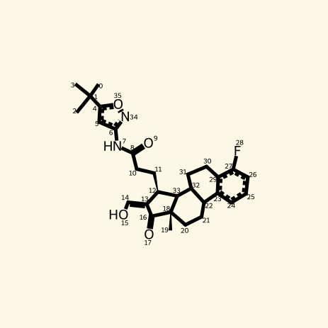 CC(C)(C)c1cc(NC(=O)CC[C@@H]2/C(=C/O)C(=O)[C@@]3(C)CCC4c5cccc(F)c5CCC4C23)no1